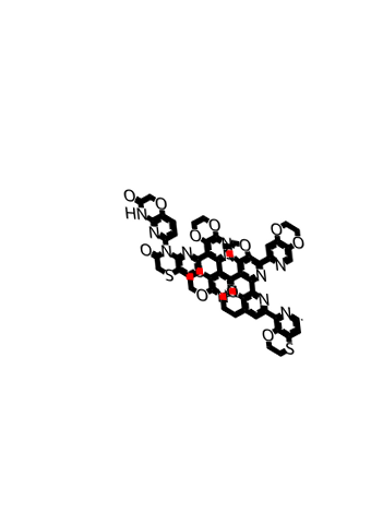 O=C1COc2ccc(N3C(=O)CSc4ccc(-c5c(-c6c(-c7c(-c8nc(-c9n[c]cc%10c9OCCS%10)cc9c8OCCC9)nc(-c8cc9c(cn8)OCCO9)c8c7SCO8)nnc7c6SCCO7)nnc6c5OCCO6)nc43)nc2N1